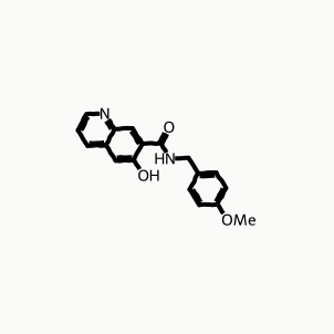 COc1ccc(CNC(=O)c2cc3ncccc3cc2O)cc1